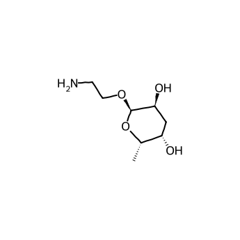 C[C@@H]1O[C@@H](OCCN)[C@@H](O)C[C@@H]1O